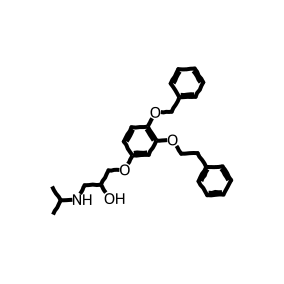 CC(C)NCC(O)COc1ccc(OCc2ccccc2)c(OCCc2ccccc2)c1